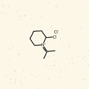 CC(C)=[N+]1CCCCC1Cl.[Cl-]